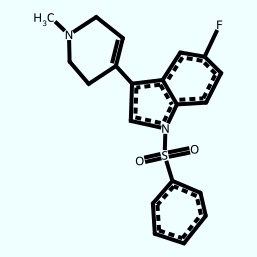 CN1CC=C(c2cn(S(=O)(=O)c3ccccc3)c3ccc(F)cc23)CC1